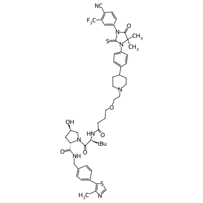 Cc1ncsc1-c1ccc(CNC(=O)[C@@H]2C[C@@H](O)CN2C(=O)[C@@H](NC(=O)CCCOCCN2CCC(c3ccc(N4C(=S)N(c5ccc(C#N)c(C(F)(F)F)c5)C(=O)C4(C)C)cc3)CC2)C(C)(C)C)cc1